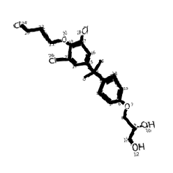 CC(C)(c1ccc(OC[C@H](O)CO)cc1)c1cc(Cl)c(OC[CH]CCl)c(Cl)c1